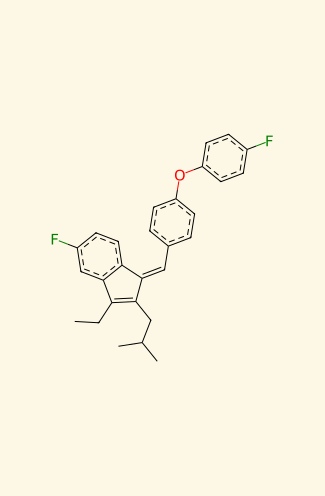 CCC1=C(CC(C)C)/C(=C/c2ccc(Oc3ccc(F)cc3)cc2)c2ccc(F)cc21